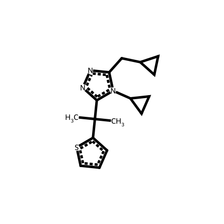 CC(C)(c1cccs1)c1nnc(CC2CC2)n1C1CC1